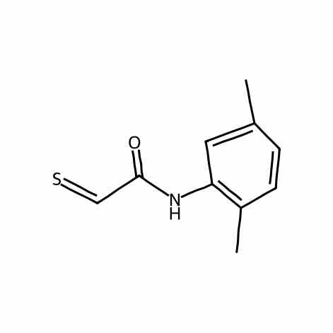 Cc1ccc(C)c(NC(=O)C=S)c1